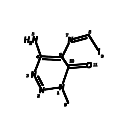 Cn1nnc(N)c(/N=C\I)c1=O